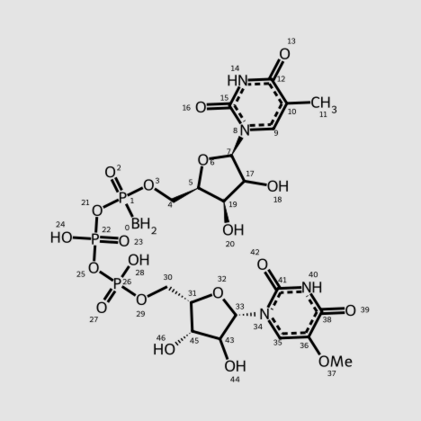 BP(=O)(OC[C@H]1O[C@@H](n2cc(C)c(=O)[nH]c2=O)C(O)[C@H]1O)OP(=O)(O)OP(=O)(O)OC[C@@H]1O[C@H](n2cc(OC)c(=O)[nH]c2=O)C(O)[C@@H]1O